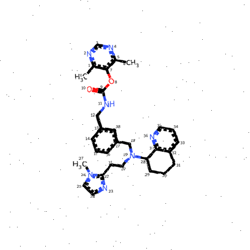 Cc1ncnc(C)c1OC(=O)NCc1cccc(CN(CCc2nccn2C)C2CCCc3cccnc32)c1